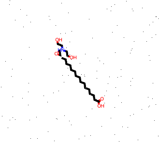 C1CO1.CCCCCCCCCCCCCCCC(=O)O.OCCNCCO